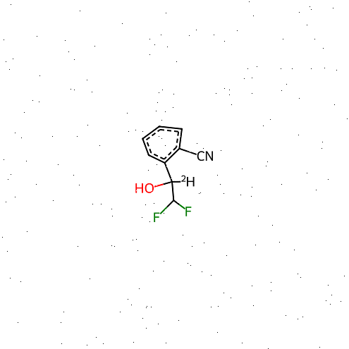 [2H]C(O)(c1ccccc1C#N)C(F)F